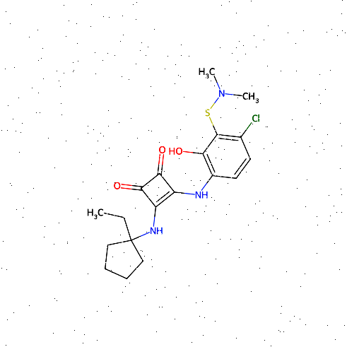 CCC1(Nc2c(Nc3ccc(Cl)c(SN(C)C)c3O)c(=O)c2=O)CCCC1